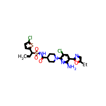 C=CC(c1ccc(Cl)s1)S(=O)(=O)NC(=O)C1CCN(c2nc(N)c(-c3ncc(CC)o3)cc2Cl)CC1